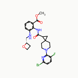 COC(=O)c1cccc(NC[C@@H]2CCO2)c1NC(=O)C1CC12CCN(c1nc(Br)ccc1F)CC2